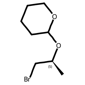 C[C@@H](CBr)OC1CCCCO1